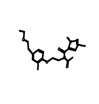 CCOCCc1ccc(OCCN(C(C)=O)C(=O)c2cc(C)nn2C)c(C)c1